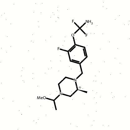 COC(C)N1CCN(Cc2ccc(OC(N)(F)F)c(F)c2)[C@@H](C)C1